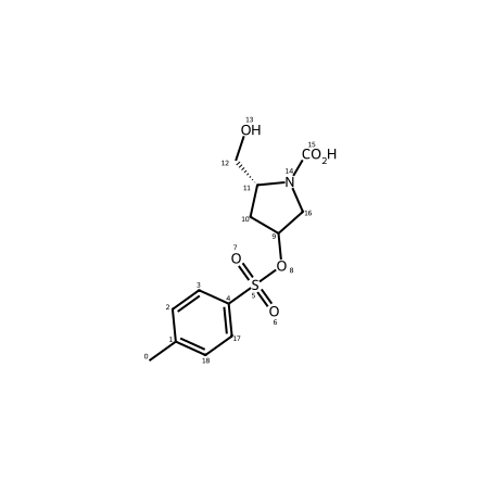 Cc1ccc(S(=O)(=O)OC2C[C@H](CO)N(C(=O)O)C2)cc1